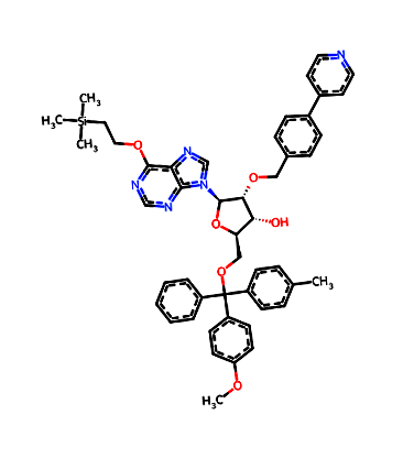 COc1ccc(C(OC[C@H]2O[C@@H](n3cnc4c(OCC[Si](C)(C)C)ncnc43)[C@H](OCc3ccc(-c4ccncc4)cc3)[C@@H]2O)(c2ccccc2)c2ccc(C)cc2)cc1